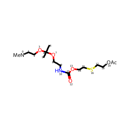 CNCCOC(C)(C)OCCNC(=O)OCCSCCOC(C)=O